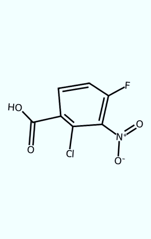 O=C(O)c1ccc(F)c([N+](=O)[O-])c1Cl